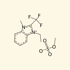 CC[n+]1c(C(F)(F)F)n(C)c2ccccc21.COS(=O)(=O)[O-]